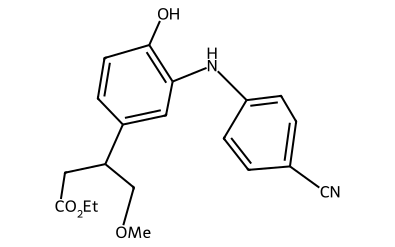 CCOC(=O)CC(COC)c1ccc(O)c(Nc2ccc(C#N)cc2)c1